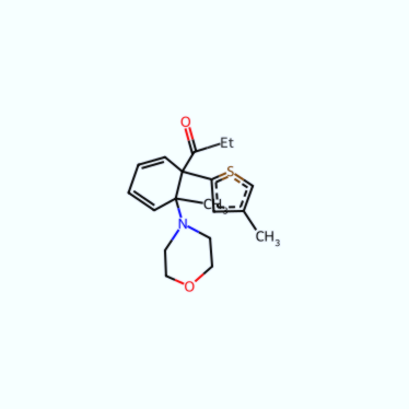 CCC(=O)C1(c2cc(C)cs2)C=CC=CC1(C)N1CCOCC1